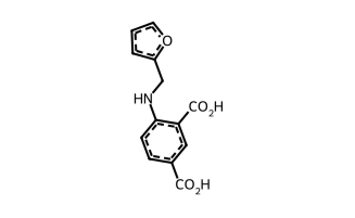 O=C(O)c1ccc(NCc2ccco2)c(C(=O)O)c1